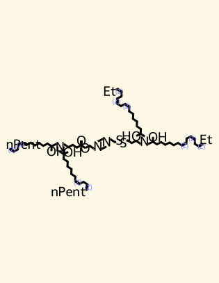 CC/C=C\C/C=C\C/C=C\CCCCCCC(O)CN(CCCCSSCCN1CCN(CCOC(=O)CCCCN(CC(O)CCCCCC/C=C\C/C=C\CCCCC)CC(O)CCCCCC/C=C\C/C=C\CCCCC)CC1)CC(O)CCCCCC/C=C\C/C=C\C/C=C\CC